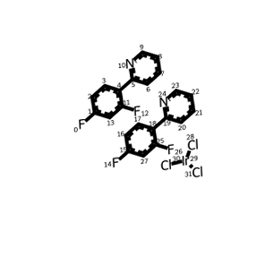 Fc1ccc(-c2ccccn2)c(F)c1.Fc1ccc(-c2ccccn2)c(F)c1.[Cl][Ir]([Cl])[Cl]